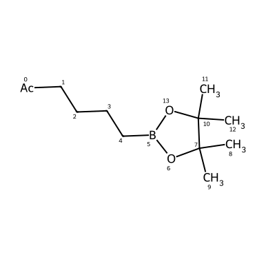 CC(=O)CCCCB1OC(C)(C)C(C)(C)O1